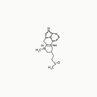 CN1CC(CC[S+](C)[O-])C[C@H]2c3cccc4[nH]cc(c34)C[C@@H]21